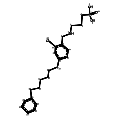 O=P(O)(O)CCCNCc1ccc(SCCCCCc2ccccc2)cc1Cl